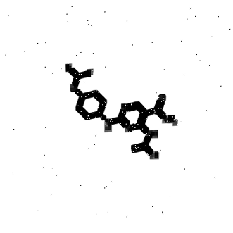 C=C(CC)Nc1nc(N[C@H]2CC[C@H](OC(F)F)CC2)ncc1C(N)=O